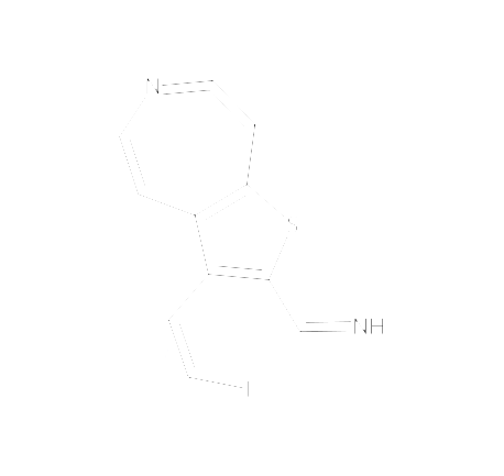 N=Cc1sc2c(c1/C=C\I)C=CN=C=C2